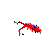 CCCCCCCC/C=C\CCCCCCCCCCCCCC(=O)N[C@@H](CO[C@@H]1OC(CO)[C@@H](O[C@@H]2OC(CO)[C@H](O)[C@H](O[C@H]3OC(CO)[C@H](O)[C@H](O[C@@H]4OC(CO)[C@H](O)[C@H](O[C@@H]5OC(CO)[C@H](O)[C@H](O[C@]6(C(=O)O)CC(O)[C@@H](NC(C)=O)C([C@H](O)[C@H](O)CO)O6)C5O)C4NC(C)=O)C3O)C2O)[C@H](O)C1O)[C@H](O)/C=C/CCCCCCCCCCCCC